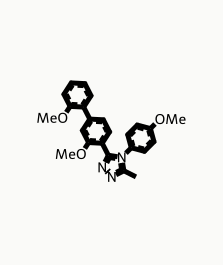 COc1ccc(-n2c(C)nnc2-c2ccc(-c3ccccc3OC)cc2OC)cc1